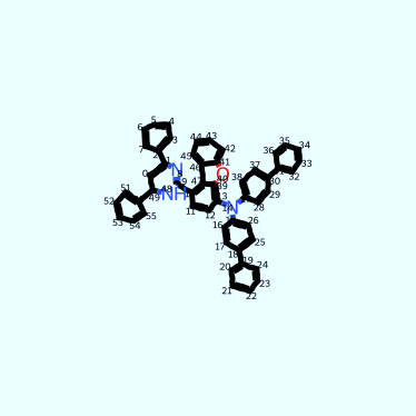 C1=C(c2ccccc2)N=C(c2ccc(N(c3ccc(-c4ccccc4)cc3)c3ccc(-c4ccccc4)cc3)c3oc4ccccc4c23)NC1c1ccccc1